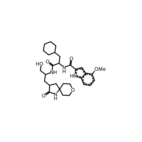 COc1cccc2[nH]c(C(=O)NC(CC3CCCCC3)C(=O)NC(CO)CC3CC4(CCOCC4)NC3=O)cc12